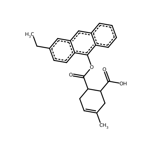 CCc1ccc2c(OC(=O)C3CC=C(C)CC3C(=O)O)c3ccccc3cc2c1